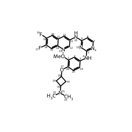 COc1cc(Nc2nccc(Nc3cnc4cc(F)c(F)cc4c3)n2)ccc1OC1CC(N(C)C)C1